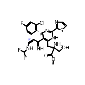 COC(=O)[C@](N)(CO)CC1=C(C(=N)/C=C\NC(F)F)[C@H](c2ccc(F)cc2Cl)N=C(c2nccs2)N1